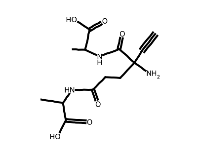 C#CC(N)(CCC(=O)NC(C)C(=O)O)C(=O)NC(C)C(=O)O